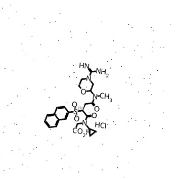 CN(C(=O)C[C@@H](C(=O)N(CC(=O)O)C1CC1)S(=O)(=O)c1ccc2ccccc2c1)C1CN(C(=N)N)CCO1.Cl